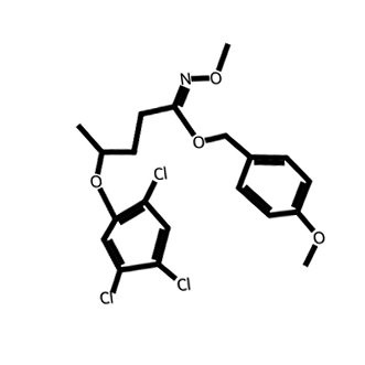 CON=C(CCC(C)Oc1cc(Cl)c(Cl)cc1Cl)OCc1ccc(OC)cc1